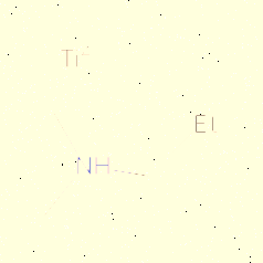 CCC[NH+](C)C.[Ti+4]